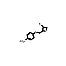 CCC1COC1COc1ccc(C(=O)O)cc1